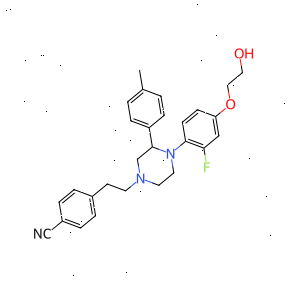 Cc1ccc(C2CN(CCc3ccc(C#N)cc3)CCN2c2ccc(OCCO)cc2F)cc1